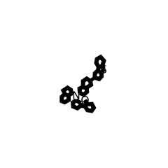 c1ccc2c(N(c3ccc4cc(-c5ccc6sc7ccccc7c6c5)ccc4c3)c3cccc4c3oc3ccccc34)cccc2c1